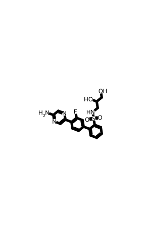 Nc1cnc(-c2ccc(-c3ccccc3S(=O)(=O)NCC(O)CO)cc2F)cn1